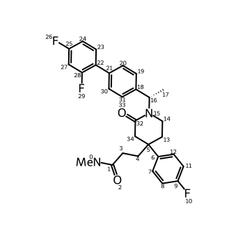 CNC(=O)CCC1(c2ccc(F)cc2)CCN([C@@H](C)c2ccc(-c3ccc(F)cc3F)cc2)C(=O)C1